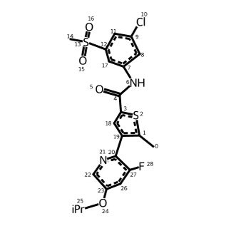 Cc1sc(C(=O)Nc2cc(Cl)cc(S(C)(=O)=O)c2)cc1-c1ncc(OC(C)C)cc1F